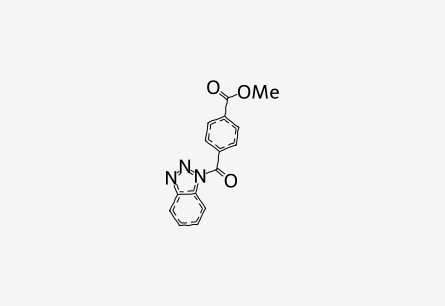 COC(=O)c1ccc(C(=O)n2nnc3ccccc32)cc1